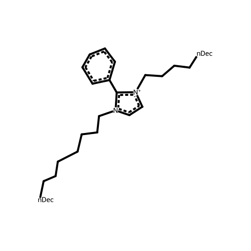 CCCCCCCCCCCCCCCCCn1cc[n+](CCCCCCCCCCCCCC)c1-c1ccccc1